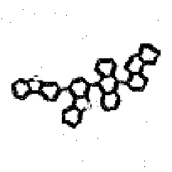 c1ccc2c(c1)ccc1c(-c3c4ccccc4c(-c4ccc(-c5ccc6c(c5)oc5ccccc56)c5c4oc4ccccc45)c4ccccc34)cccc12